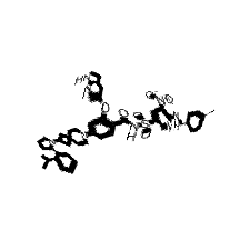 CC(C)c1ccccc1[C@H]1CCCN1C1CC2(CCN(c3ccc(C(=O)NS(=O)(=O)c4cnc(NC[C@H]5CC[C@@H](C)CC5)c([N+](=O)[O-])c4)c(Oc4cnc5[nH]ccc5c4)c3)CC2)C1